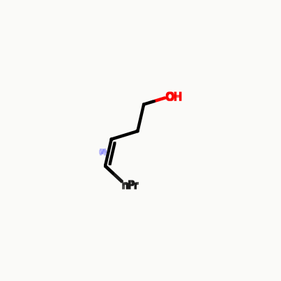 CCC/C=C\CCO